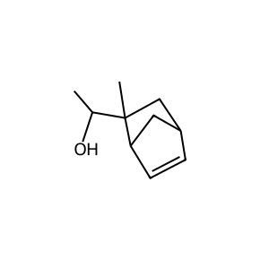 CC(O)C1(C)CC2C=CC1C2